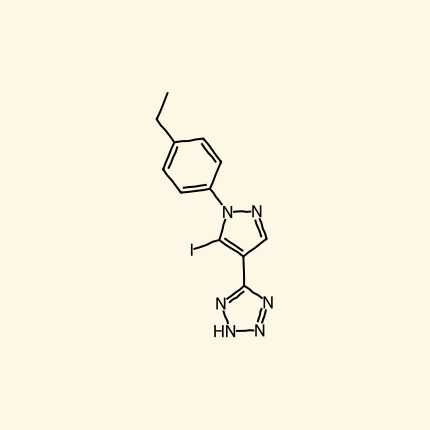 CCc1ccc(-n2ncc(-c3nn[nH]n3)c2I)cc1